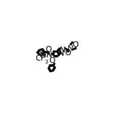 O=C(Nc1cc2cn(CC(=O)N3CCOCC3)nc2cc1OCc1ccccc1)c1cccc(C(F)(F)F)n1